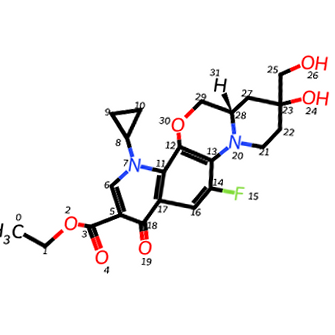 CCOC(=O)c1cn(C2CC2)c2c3c(c(F)cc2c1=O)N1CCC(O)(CO)C[C@H]1CO3